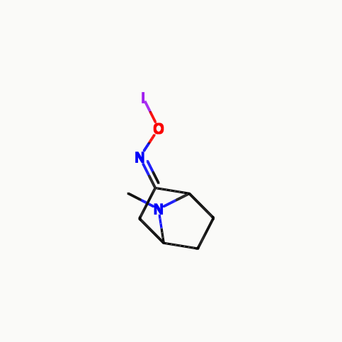 CN1C2CCC1/C(=N\OI)C2